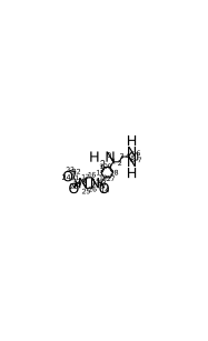 NC(CCC1NCCN1)c1ccc(C(=O)N2CCN(C(=O)C3CCO3)CC2)cc1